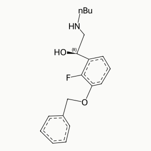 CCCCNC[C@H](O)c1cccc(OCc2ccccc2)c1F